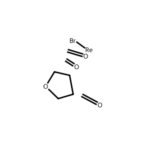 C1CCOC1.C=O.C=O.C=O.[Br][Re]